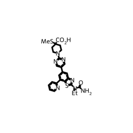 CCN(C(N)=O)c1nc2cc(-c3cnc(N4CCC(SC)(C(=O)O)CC4)nc3)cc(-c3ccccn3)c2s1